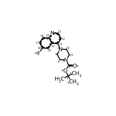 CC(C)(C)OC(=O)N1CCN(c2ccnc3ccc(F)cc23)CC1